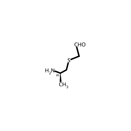 C[C@@H](N)CSCC=O